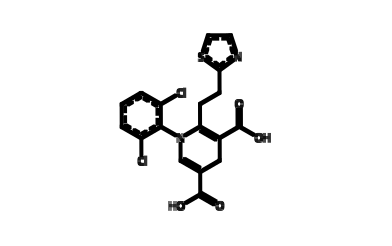 O=C(O)C1=CN(c2c(Cl)cccc2Cl)C(CCc2nccs2)=C(C(=O)O)C1